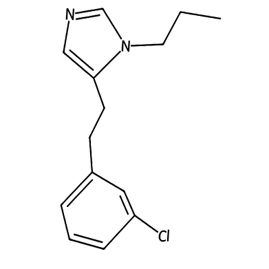 CCCn1cncc1CCc1cccc(Cl)c1